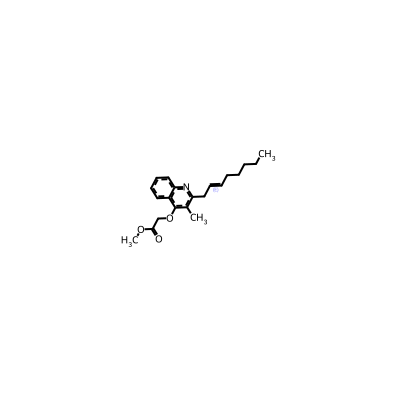 CCCCC/C=C/Cc1nc2ccccc2c(OCC(=O)OC)c1C